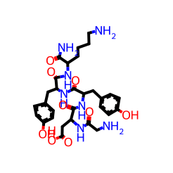 NCCCCC(NC(=O)C(Cc1ccc(O)cc1)NC(=O)C(Cc1ccc(O)cc1)NC(=O)C(CC(=O)O)NC(=O)CN)C(N)=O